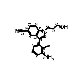 Cc1c(N)cccc1-c1cn(CCCO)c2ccc(C#N)cc12